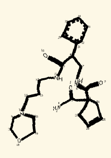 NC(=O)C1(C(=O)NCC(C(=O)NCCCN2CCOCC2)c2ccccc2)CC=CC1